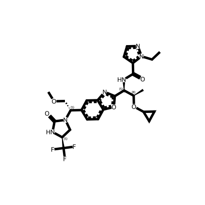 CCn1nccc1C(=O)N[C@H](c1nc2cc([C@@H](COC)N3C[C@@H](C(F)(F)F)NC3=O)ccc2o1)[C@@H](C)OC1CC1